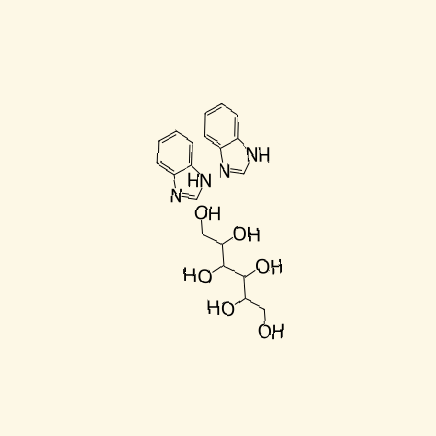 OCC(O)C(O)C(O)C(O)CO.c1ccc2[nH]cnc2c1.c1ccc2[nH]cnc2c1